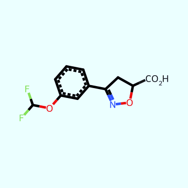 O=C(O)C1CC(c2cccc(OC(F)F)c2)=NO1